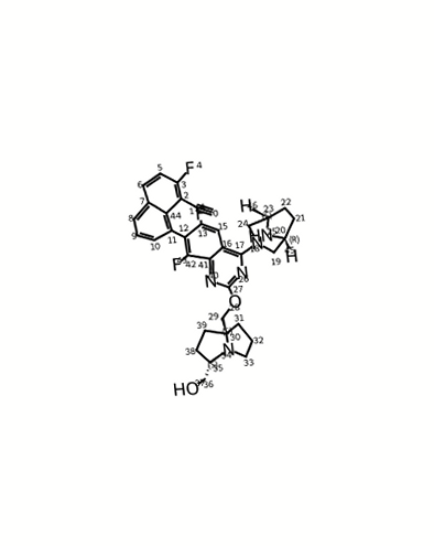 C#Cc1c(F)ccc2cccc(-c3c(F)cc4c(N5C[C@H]6CC[C@@H](C5)N6)nc(OC[C@@]56CCCN5[C@H](CO)CC6)nc4c3F)c12